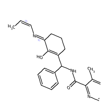 C/C=C\N=C1/CCCC(C(NC(=O)c2ncccc2C)c2ccccc2)=C1O